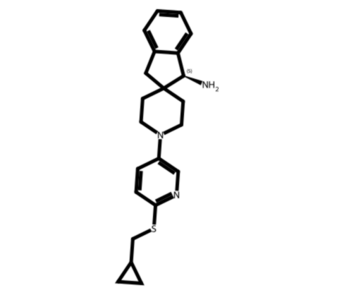 N[C@@H]1c2ccccc2CC12CCN(c1ccc(SCC3CC3)nc1)CC2